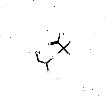 O=C(O)C(F)(F)F.OCC(Cl)Cl